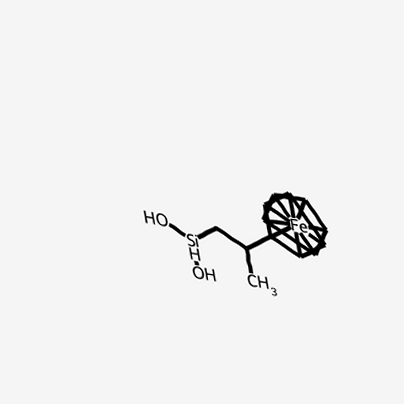 CC(C[SiH](O)O)[C]12[CH]3[CH]4[CH]5[CH]1[Fe]45321678[CH]2[CH]1[CH]6[CH]7[CH]28